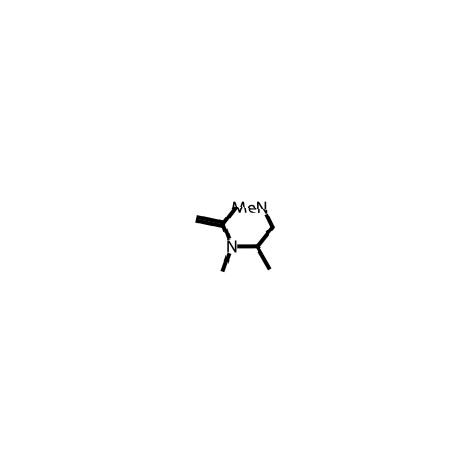 C=C(C)N(C)C(C)CNC